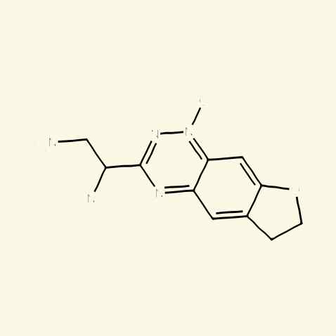 NCC(N)c1nc2cc3c(cc2[n+]([O-])n1)OCC3